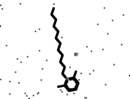 CCCCCCCCCCCC[n+]1c(C)cccc1C.[Cl-]